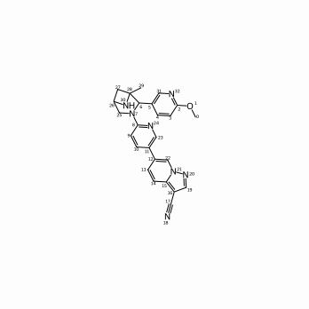 COc1ccc(C2N(c3ccc(-c4ccc5c(C#N)cnn5c4)cn3)CC3CC2(C)N3)cn1